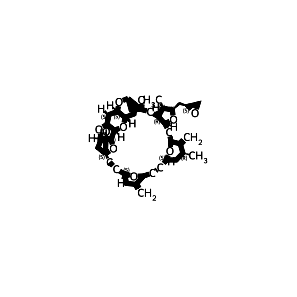 C=C1C[C@@H]2CC[C@@]34C[C@H]5OC6[C@@H](O[C@H]7CCC(CC(=O)C[C@@H]8[C@@H](C)[C@@H](C[C@H]9CO9)O[C@H]8CC8O[C@@H](CCC1O2)C[C@@H](C)C8=C)O[C@@H]7[C@@H]6O3)[C@H]5O4